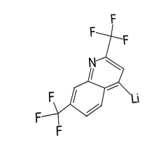 [Li][c]1cc(C(F)(F)F)nc2cc(C(F)(F)F)ccc12